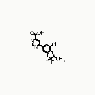 CC(Oc1ccc(-c2cc(C(=O)O)ncn2)cc1Cl)C(F)(F)F